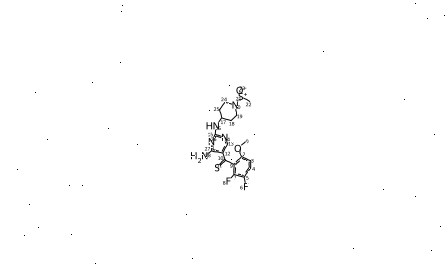 COc1ccc(F)c(F)c1C(=S)c1cnc(NC2CCN([S+](C)[O-])CC2)nc1N